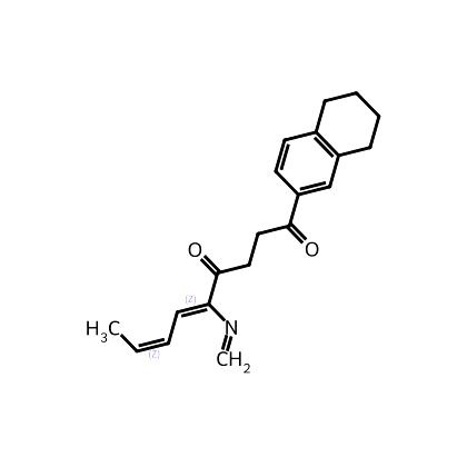 C=N/C(=C\C=C/C)C(=O)CCC(=O)c1ccc2c(c1)CCCC2